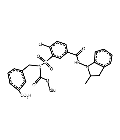 CC1Cc2ccccc2N1NC(=O)c1ccc(Cl)c(S(=O)(=O)N(Cc2cccc(C(=O)O)c2)C(=O)OC(C)(C)C)c1